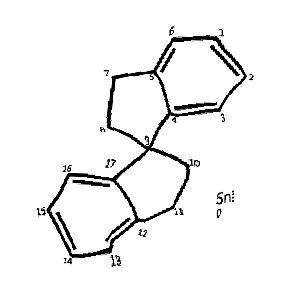 [Sn].c1ccc2c(c1)CCC21CCc2ccccc21